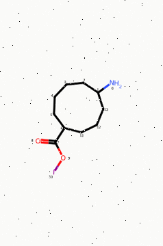 NC1CCCCC(C(=O)OI)CCC1